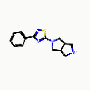 c1ccc(-c2nsc(N3CC4CNCC4C3)n2)cc1